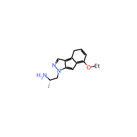 CCOC1=C2C=c3c(cnn3C[C@H](C)N)=C2CC=C1